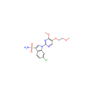 COCCOc1cnc(-n2cc(S(N)(=O)=O)c3ccc(Cl)cc32)nc1OC